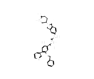 CC(C)(NC(=O)Nc1ccc2c(c1)CN(C1CCC(=O)NC1=O)C2=O)c1ccc(-c2cccnc2)c(OCc2ccccc2)c1